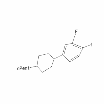 CCCCCC1CCC(c2ccc(I)c(F)c2)CC1